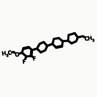 CCOC1C=CC(C2CCC(C3C=CC(C4CCC(CC)CC4)CC3)CC2)=C(F)C1F